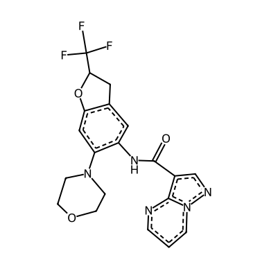 O=C(Nc1cc2c(cc1N1CCOCC1)OC(C(F)(F)F)C2)c1cnn2cccnc12